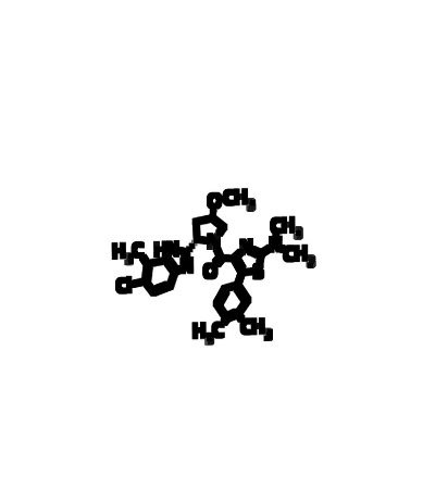 CO[C@@H]1C[C@@H](c2nc3ccc(Cl)c(C)c3[nH]2)N(C(=O)c2nc(N(C)C)sc2-c2ccc(C)c(C)c2)C1